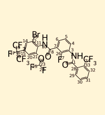 O=C(Nc1cccc(C(=O)Nc2c(Br)cc(C(F)(C(F)(F)F)C(F)(F)F)cc2OC(F)F)c1F)c1ccccc1C(F)(F)F